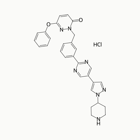 Cl.O=c1ccc(Oc2ccccc2)nn1Cc1cccc(-c2ncc(-c3cnn(C4CCNCC4)c3)cn2)c1